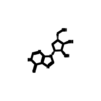 O=c1[nH]cnc2c1ncn2[C@@H]1C[C@H](CO)[C@@H](O)[C@H]1O